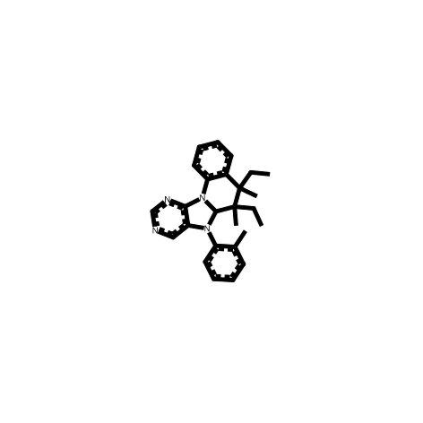 CCC1(C)c2ccccc2N2c3ncncc3N(c3ccccc3C)C2C1(C)CC